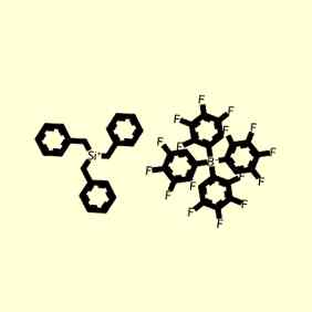 Fc1cc([B-](c2cc(F)c(F)c(F)c2F)(c2cc(F)c(F)c(F)c2F)c2cc(F)c(F)c(F)c2F)c(F)c(F)c1F.c1ccc(C[Si+](Cc2ccccc2)Cc2ccccc2)cc1